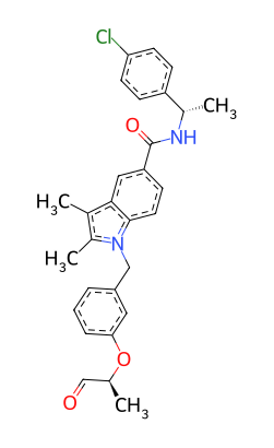 Cc1c(C)n(Cc2cccc(O[C@@H](C)C=O)c2)c2ccc(C(=O)N[C@@H](C)c3ccc(Cl)cc3)cc12